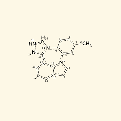 Cc1ccc2c(c1)n1ccc3cccc(c31)c1n[nH][nH]n21